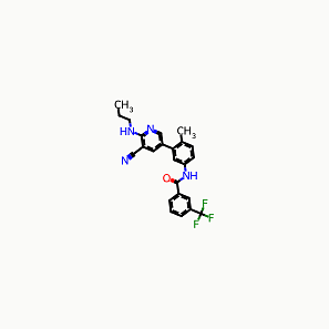 CCCNc1ncc(-c2cc(NC(=O)c3cccc(C(F)(F)F)c3)ccc2C)cc1C#N